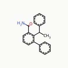 CC(c1ccccc1)c1c(C(N)=O)cccc1-c1ccccc1